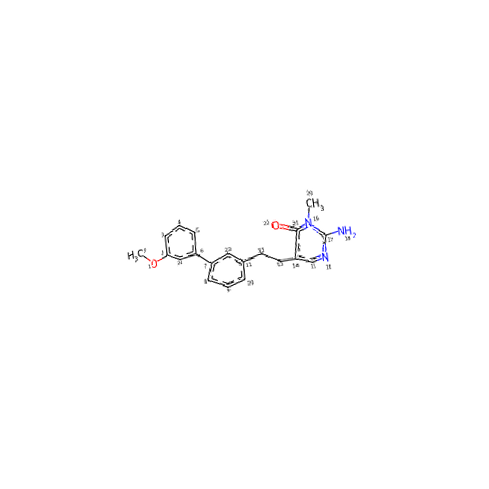 COc1cccc(-c2cccc(CCc3cnc(N)n(C)c3=O)c2)c1